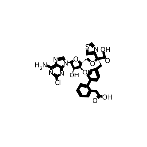 Nc1nc(Cl)nc2c1ncn2[C@@H]1O[C@H](CO[C@](Cc2ccc(-c3ccccc3CC(=O)O)cc2)(C(=O)O)c2cscn2)[C@@H](O)[C@H]1O